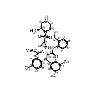 COC(=O)N[C@H](C(=O)Nc1ccccc1CC[C@H]1CNC[C@H](C)N1S(=O)(=O)C1CC1)[C@@H](c1ccc(Cl)cc1)c1cc(F)cc(F)c1